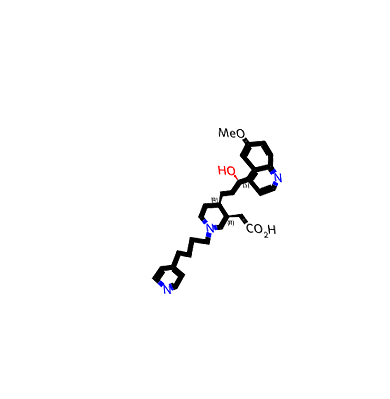 COc1ccc2nccc([C@@H](O)CC[C@@H]3CCN(CCCCc4ccncc4)C[C@@H]3CC(=O)O)c2c1